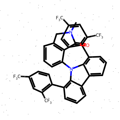 CN1Cc2cccc(-n3c4c(-c5ccc(C(F)(F)F)cc5C(F)(F)F)cccc4c4cccc(-c5ccc(C(F)(F)F)cc5C(F)(F)F)c43)c2C1=O